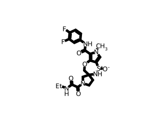 CCNC(=O)C(=O)N1CCC2(COc3c(cn(C)c3C(=O)Nc3ccc(F)c(F)c3)[S+]([O-])N2)C1